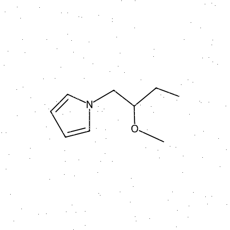 CCC(Cn1cccc1)OC